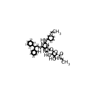 CCNC(=O)[C@H]1O[C@@H](On2cnc3c(NCC(c4ccccc4)c4ccccc4)nc(NC4CCCN(CC)C4)nc32)[C@H](O)[C@@H]1O